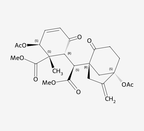 C=C1C[C@]2([C@@H](C(=O)OC)[C@H]3C(=O)C=C[C@H](OC(C)=O)[C@@]3(C)C(=O)OC)C[C@@]1(OC(C)=O)CCC2=O